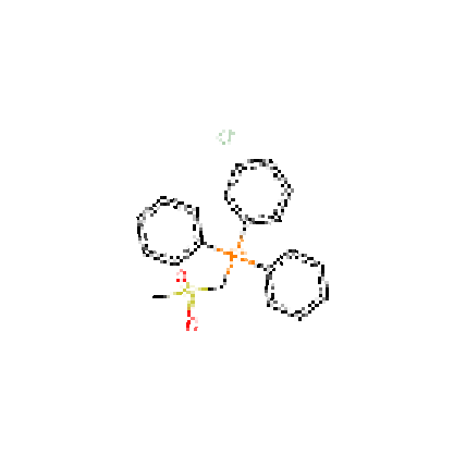 CS(=O)(=O)C[P+](c1ccccc1)(c1ccccc1)c1ccccc1.[Cl-]